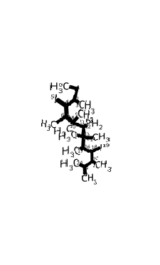 CCC(C)C(I)C(C)C(C)(C)C(P)C(C)(C)C(C)C(I)C(C)C(C)C